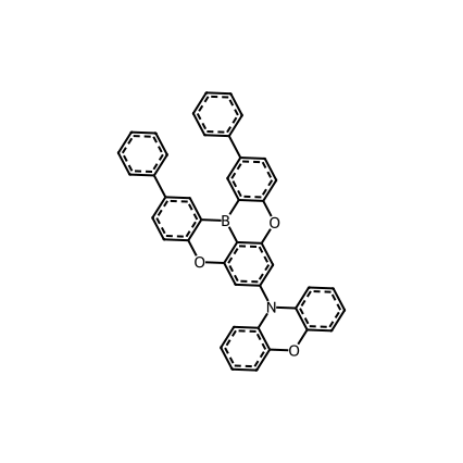 c1ccc(-c2ccc3c(c2)B2c4cc(-c5ccccc5)ccc4Oc4cc(N5c6ccccc6Oc6ccccc65)cc(c42)O3)cc1